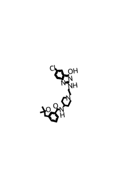 CC1(C)Cc2cccc(C(=O)NC3CCN(CCNc4nc(O)c5cc(Cl)ccc5n4)CC3)c2O1